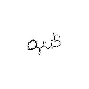 N[C@H]1CCC[C@@H](CNC(=O)c2ccccc2)C1